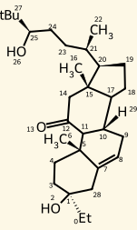 CC[C@]1(O)CC[C@@]2(C)C(=CC[C@@H]3C2C(=O)C[C@@]2(C)C3CC[C@@H]2[C@H](C)CC[C@@H](O)C(C)(C)C)C1